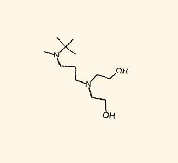 CN(CCCN(CCO)CCO)C(C)(C)C